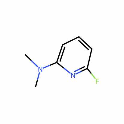 CN(C)c1cccc(F)n1